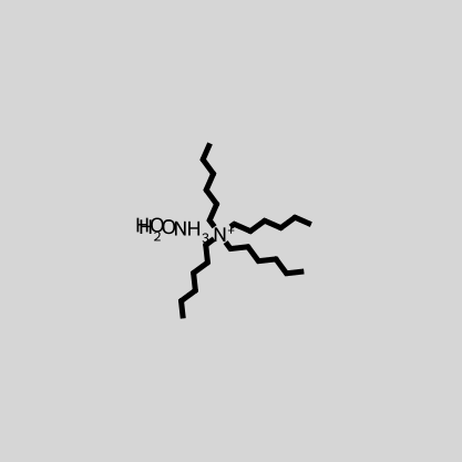 CCCCCC[N+](CCCCCC)(CCCCCC)CCCCCC.N.O.[OH-]